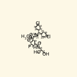 CS(=O)(=O)N(c1cc(F)cc(C(=O)NCC(O)CO)c1)C1CN(C(c2ccc(Cl)cc2)c2ccc(Cl)cc2)C1